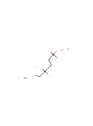 CC(C)(CCC(C)(C)OOC(C)(C)C)COOC(C)(C)C